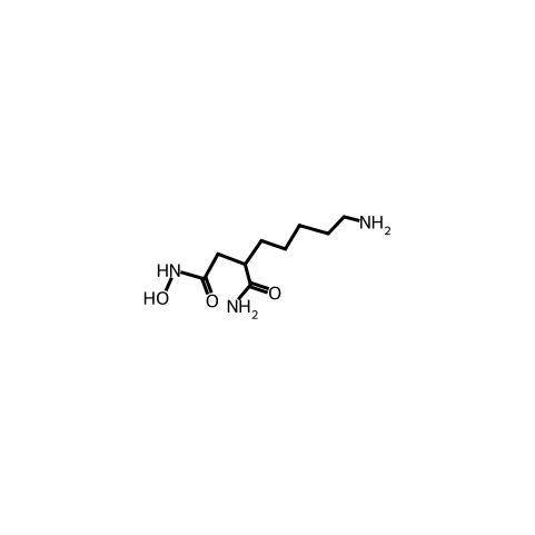 NCCCCCC(CC(=O)NO)C(N)=O